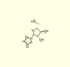 OC[C@H]1OC(c2c[nH]nn2)[C@@H](O)[C@@H]1O